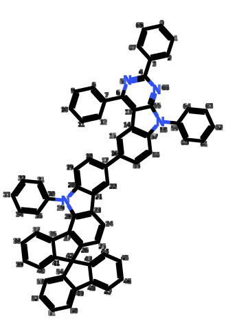 c1ccc(-c2nc(-c3ccccc3)c3c4cc(-c5ccc6c(c5)c5ccc7c(c5n6-c5ccccc5)-c5ccccc5C75c6ccccc6-c6ccccc65)ccc4n(-c4ccccc4)c3n2)cc1